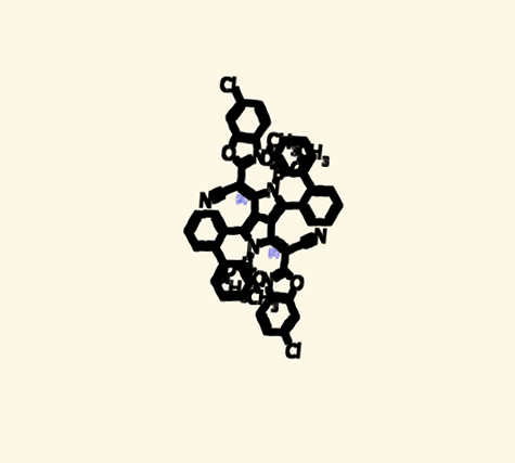 COB(OC)n1c(-c2ccccc2-c2ccccc2)c2/c(=C(\C#N)c3nc4ccc(Cl)cc4o3)n(B(OC)OC)c(-c3ccccc3-c3ccccc3)c2/c1=C(\C#N)c1nc2ccc(Cl)cc2o1